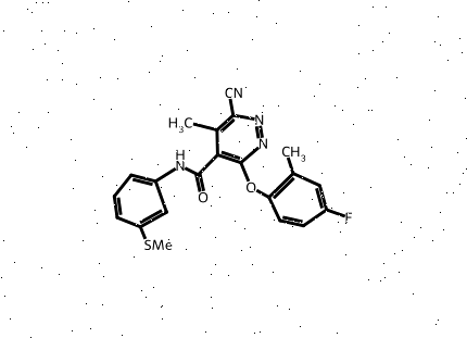 CSc1cccc(NC(=O)c2c(Oc3ccc(F)cc3C)nnc(C#N)c2C)c1